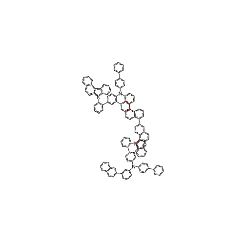 c1ccc(-c2ccc(N(c3cccc(-c4ccc5ccccc5c4)c3)c3ccc(-c4ccccc4-n4c5ccccc5c5ccc6cc(-c7cccc8c(-c9cccc(N(c%10ccc(-c%11ccccc%11)cc%10)c%10ccc(-c%11ccccc%11-n%11c%12ccccc%12c%12c%13ccccc%13ccc%12%11)cc%10-c%10ccccc%10)c9)cccc78)ccc6c54)c(-c4ccccc4)c3)cc2)cc1